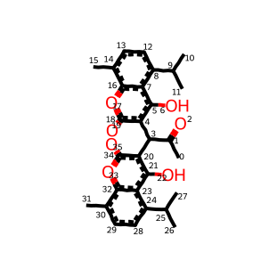 CC(=O)C(c1c(O)c2c(C(C)C)ccc(C)c2oc1=O)c1c(O)c2c(C(C)C)ccc(C)c2oc1=O